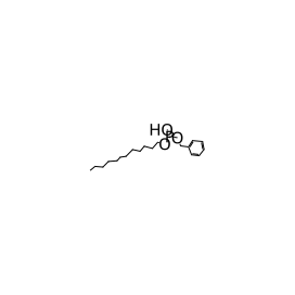 CCCCCCCCCCCCOP(O)OCc1ccccc1